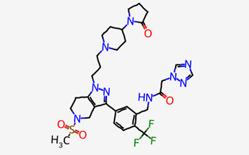 CS(=O)(=O)N1CCc2c(c(-c3ccc(C(F)(F)F)c(CNC(=O)Cn4cncn4)c3)nn2CCCN2CCC(N3CCCC3=O)CC2)C1